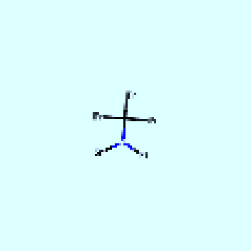 CC[N]([Sn])C(C(C)C)(C(C)C)C(C)C